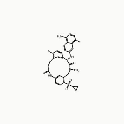 CN1Cc2cc(ccc2S(=O)(=O)C2CC2)NC(=O)CCc2cc(ccc2F)[C@@H](Nc2ccc3c(N)ncc(F)c3c2)C1=O